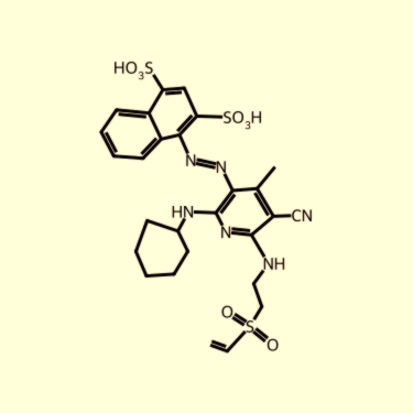 C=CS(=O)(=O)CCNc1nc(NC2CCCCC2)c(/N=N/c2c(S(=O)(=O)O)cc(S(=O)(=O)O)c3ccccc23)c(C)c1C#N